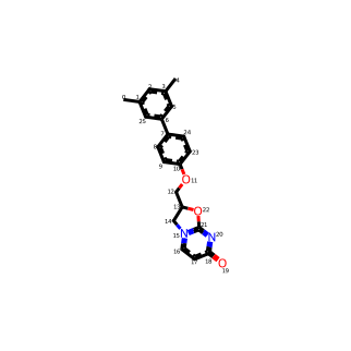 Cc1cc(C)cc(-c2ccc(OCC3Cn4ccc(=O)nc4O3)cc2)c1